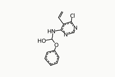 C=Cc1c(Cl)ncnc1NC(O)Oc1ccccc1